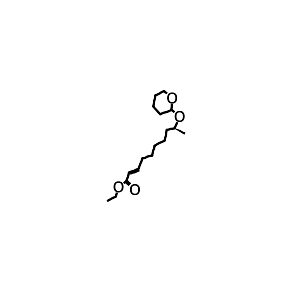 CCOC(=O)/C=C/CCCCC[C@H](C)OC1CCCCO1